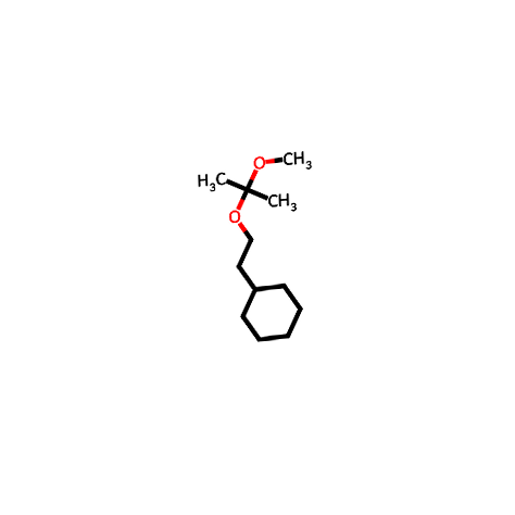 COC(C)(C)OCCC1CCCCC1